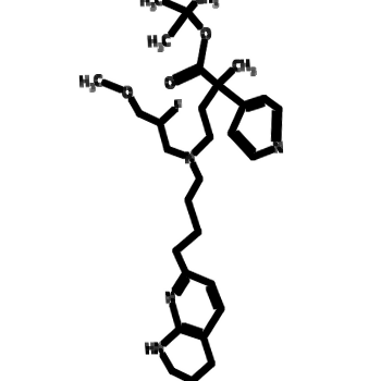 COCC(F)CN(CCCCc1ccc2c(n1)NCCC2)CCC(C)(C(=O)OC(C)(C)C)c1ccncc1